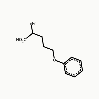 CCCC(CCCOc1ccccc1)C(=O)O